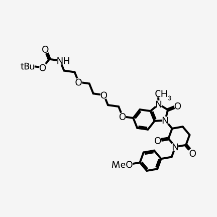 COc1ccc(CN2C(=O)CCC(n3c(=O)n(C)c4cc(OCCOCCOCCNC(=O)OC(C)(C)C)ccc43)C2=O)cc1